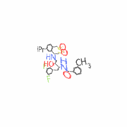 Cc1cccc(C(=O)NC(Cc2cc(F)cc(F)c2)C(O)CNC2CS(=O)(=O)Cc3ccc(C(C)C)cc32)c1